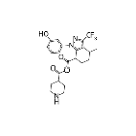 CC1CCC(C(=O)OC(=O)C2CCNCC2)c2c1c(C(F)(F)F)nn2-c1cccc(O)c1